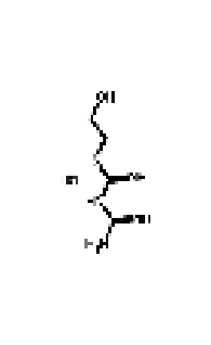 Cl.N=C(N)NC(=N)SCCO